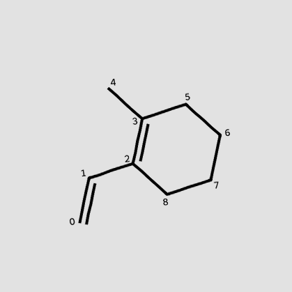 C=CC1=C(C)CCCC1